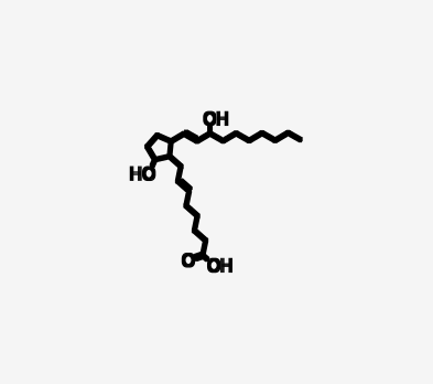 CCCCCCCC(O)/C=C/C1CCC(O)C1C/C=C/CCCCC(=O)O